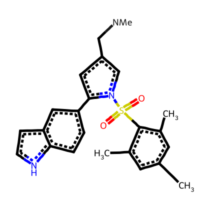 CNCc1cc(-c2ccc3[nH]ccc3c2)n(S(=O)(=O)c2c(C)cc(C)cc2C)c1